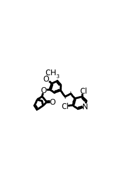 COc1ccc([CH][CH]c2c(Cl)cncc2Cl)cc1OC1C(=O)C2C=CC1C2